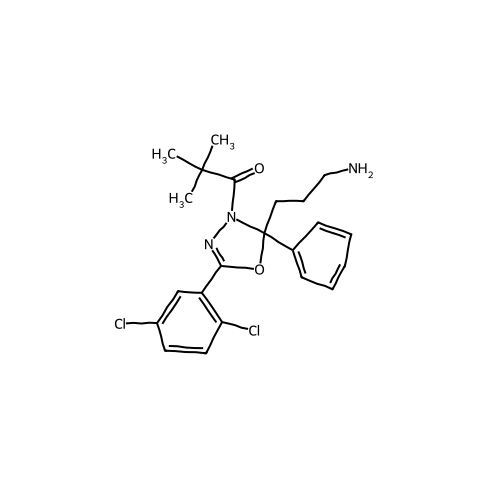 CC(C)(C)C(=O)N1N=C(c2cc(Cl)ccc2Cl)OC1(CCCN)c1ccccc1